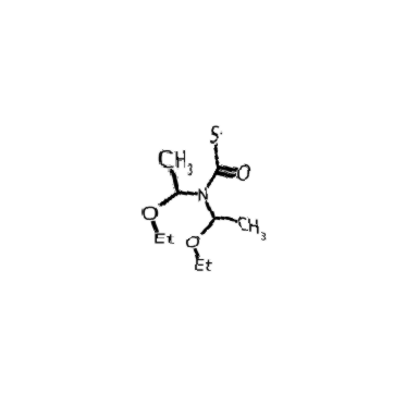 CCOC(C)N(C(=O)[S])C(C)OCC